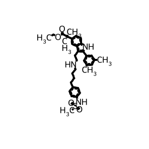 CCOC(=O)C(C)(C)c1ccc2[nH]c(-c3cc(C)cc(C)c3)c(CCNCCCCc3ccc(NS(C)(=O)=O)cc3)c2c1